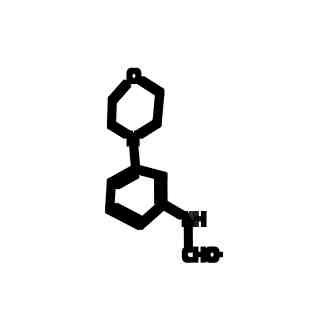 O=[C]Nc1cccc(N2CCOCC2)c1